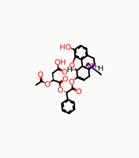 CC(=O)O[C@@H](CC(=O)O)C(=O)O[C@H](C(=O)OC1=CC[C@]2(O)[C@@H]3Cc4ccc(O)c5c4[C@]2(CCN3C)[C@@H]1O5)c1ccccc1